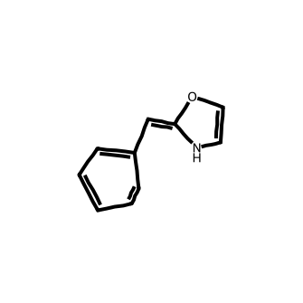 C1=COC(=Cc2ccccc2)N1